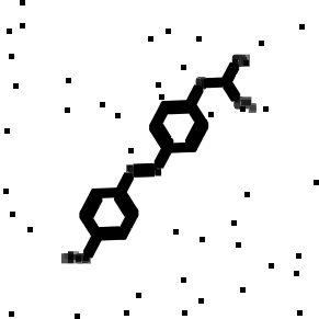 CCCCCCc1ccc(/N=N/c2ccc(OC(C)C#N)cc2)cc1